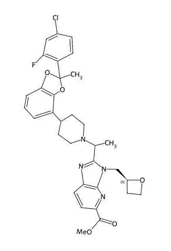 COC(=O)c1ccc2nc(C(C)N3CCC(c4cccc5c4OC(C)(c4ccc(Cl)cc4F)O5)CC3)n(C[C@@H]3CCO3)c2n1